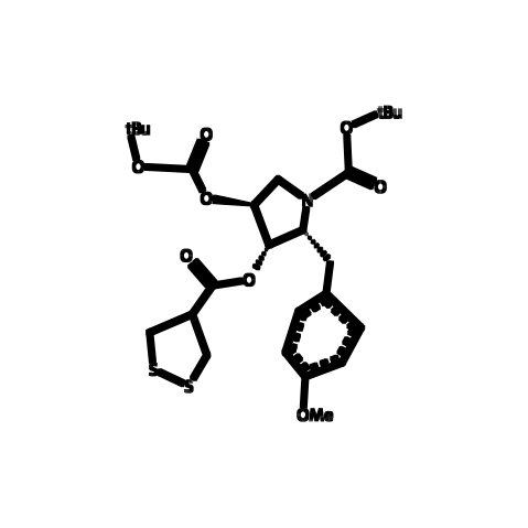 COc1ccc(C[C@@H]2[C@H](OC(=O)C3CSSC3)[C@@H](OC(=O)OC(C)(C)C)CN2C(=O)OC(C)(C)C)cc1